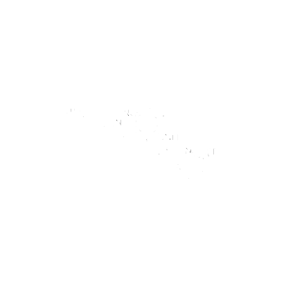 CCOC(=O)CCn1cc2cc(NC(=O)c3cccc(C(F)(F)F)n3)ccc2n1